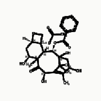 CC(=O)O[C@@]12CO[C@@H]1C[C@H](O)[C@@]1(C)C(=O)[C@H](O)C3=C(C)C(O)C[C@@](O)([C@@H](OC(=O)c4ccccc4)[C@H]21)C3(C)C